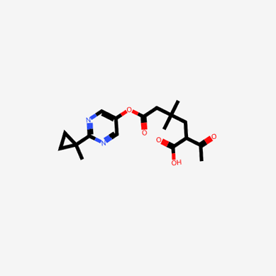 CC(=O)C(CC(C)(C)CC(=O)Oc1cnc(C2(C)CC2)nc1)C(=O)O